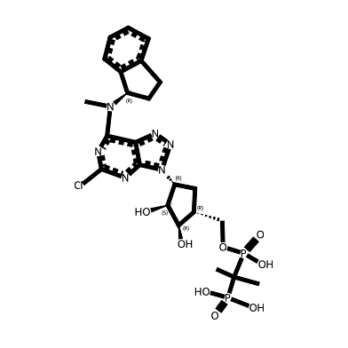 CN(c1nc(Cl)nc2c1nnn2[C@@H]1C[C@H](COP(=O)(O)C(C)(C)P(=O)(O)O)[C@@H](O)[C@H]1O)[C@@H]1CCc2ccccc21